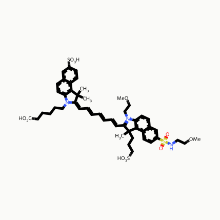 COCCNS(=O)(=O)c1ccc2c3c(ccc2c1)[N+](CCOC)=C(/C=C/C=C/C=C/C=C1/N(CCCCCC(=O)O)c2ccc4cc(S(=O)(=O)O)ccc4c2C1(C)C)C3(C)CCCS(=O)(=O)O